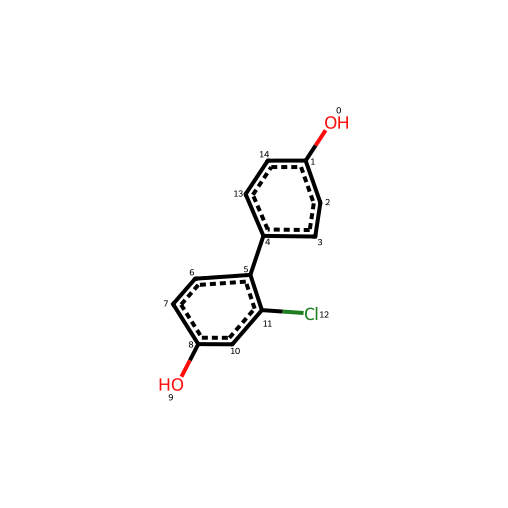 Oc1ccc(-c2ccc(O)cc2Cl)cc1